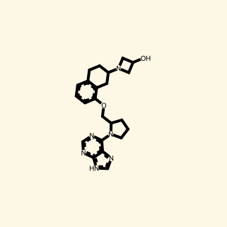 OC1CN(C2CCc3cccc(OCC4CCCN4c4ncnc5[nH]cnc45)c3C2)C1